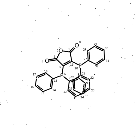 O=C1OC(=O)C(P(c2ccccc2)c2ccccc2)=C1P(c1ccccc1)c1ccccc1